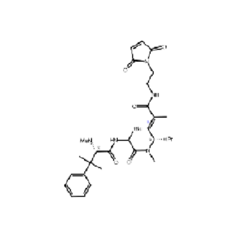 CN[C@H](C(=O)NC(C(=O)N(C)[C@H](/C=C(\C)C(=O)NCCN1C(=O)C=CC1=O)C(C)C)C(C)(C)C)C(C)(C)c1ccccc1